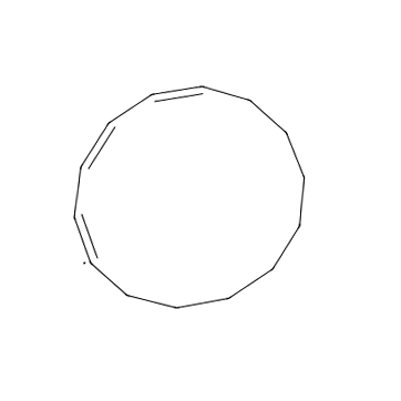 [C]1=CC=CC=CCCCCCCCC1